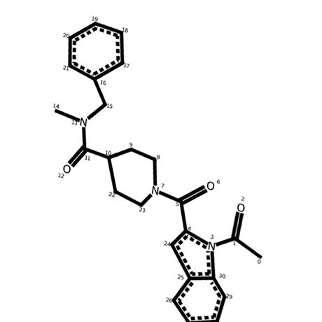 CC(=O)n1c(C(=O)N2CCC(C(=O)N(C)Cc3ccccc3)CC2)cc2ccccc21